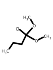 CCCC(Cl)(OC)OC